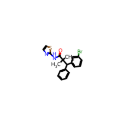 CC(C)(C(=O)Nc1nccs1)C(c1ccccc1)c1cccc(Br)c1